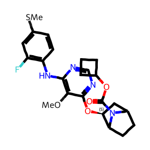 COc1c(Nc2ccc(SC)cc2F)ncnc1O[C@H]1CC2CCC1N2C(=O)OC1CCC1